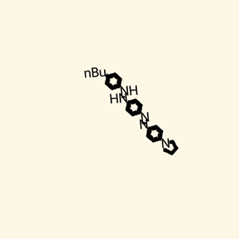 CCCCc1ccc(NNc2ccc(/N=N/c3ccc(N4CCCC4)cc3)cc2)cc1